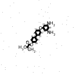 C=C(C)C(=O)Oc1ccc(-c2ccc(Oc3cc(N)cc(N)c3)cc2)cc1